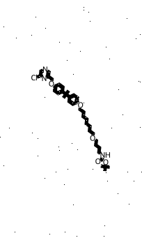 CC(C)(C)OC(=O)NCCCCOCCCCCCCCOc1ccc(C(C)(C)c2ccc(OCc3cncc(Cl)n3)cc2)cc1